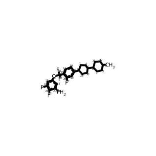 CC1CCC(C2CCC(c3ccc(C(F)(F)Oc4cc(F)c(F)c(P)c4)c(F)c3)CC2)CC1